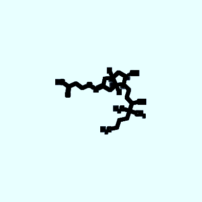 CCCCC(C)(C)C(O)CC[C@H]1[C@@H]2CC(=NOCCC(=O)O)C[C@@H]2C[C@@H]1O